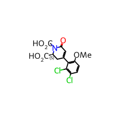 COc1ccc(Cl)c(Cl)c1C1=CC(=O)N(C(=O)O)[C@H](C(=O)O)C1